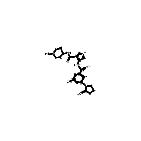 CC(C)N1CCC(NC(=O)c2cscc2NC(=O)c2cc(Cl)cc(N3CCCC3=O)c2)CC1